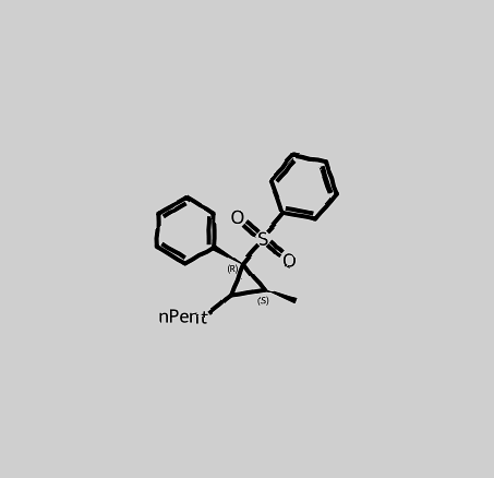 CCCCCC1[C@H](C)[C@@]1(c1ccccc1)S(=O)(=O)c1ccccc1